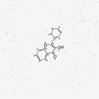 O=c1c(O)c(C2=CC=CCC2)oc2ccccc12